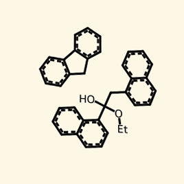 CCOC(O)(Cc1cccc2ccccc12)c1cccc2ccccc12.c1ccc2c(c1)Cc1ccccc1-2